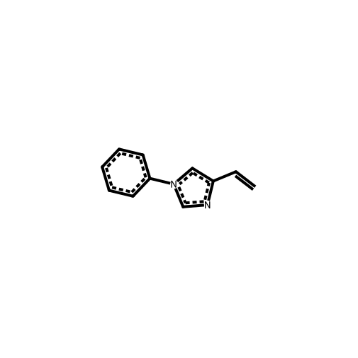 C=Cc1cn(-c2ccccc2)cn1